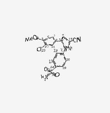 COc1ccc(-c2cc(C#N)nn2-c2ccc(S(N)(=O)=O)cc2)cc1Cl